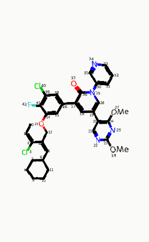 C/C=C(Cl)\C(=C/C1CCCCC1)COc1cc(-c2cc(-c3cnc(OC)nc3OC)cn(-c3cccnc3)c2=O)cc(Cl)c1F